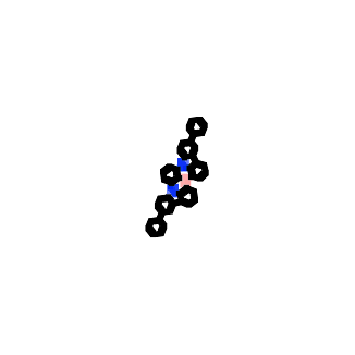 c1ccc(-c2ccc3c(c2)c2cccc4c2n3-c2cccc3c2B4c2cccc4c5cc(-c6ccccc6)ccc5n-3c24)cc1